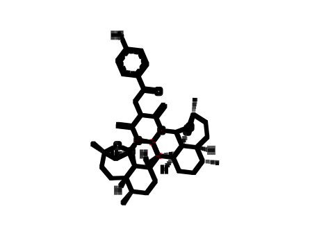 C=C(C[C@H]1OC2O[C@]3(C)CC[C@H]4[C@H](C)CC[C@@H]([C@H]1C)[C@@]24OO3)C(CC(=O)c1ccc(S)cc1)C(=C)C[C@H]1O[C@@H]2C[C@]3(C)CC[C@H]4[C@H](C)CC[C@@H]([C@H]1C)[C@@]24OO3